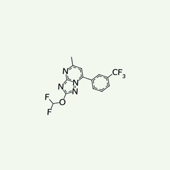 Cc1cc(-c2cccc(C(F)(F)F)c2)n2nc(OC(F)F)nc2n1